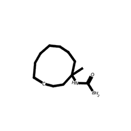 BC(=O)NC1(C)CCCCCCCCCC1